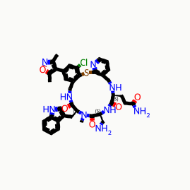 Cc1noc(C)c1-c1cc(Cl)c2c(c1)CNC(=O)[C@H](Cc1c[nH]c3ccccc13)N(C)C(=O)[C@H](CN)NC(=O)[C@H](CCC(N)=O)NCc1cccnc1S2